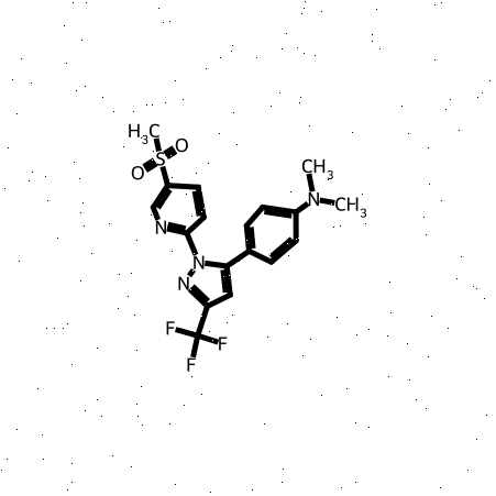 CN(C)c1ccc(-c2cc(C(F)(F)F)nn2-c2ccc(S(C)(=O)=O)cn2)cc1